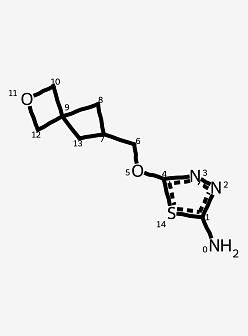 Nc1nnc(OCC2CC3(COC3)C2)s1